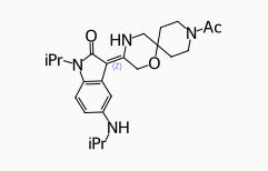 CC(=O)N1CCC2(CC1)CN/C(=C1\C(=O)N(C(C)C)c3ccc(NC(C)C)cc31)CO2